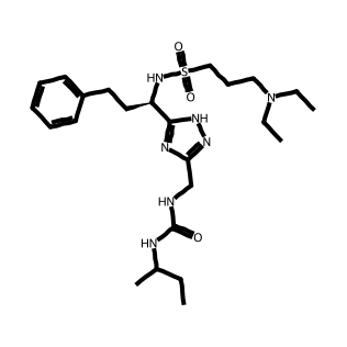 CCC(C)NC(=O)NCc1n[nH]c([C@@H](CCc2ccccc2)NS(=O)(=O)CCCN(CC)CC)n1